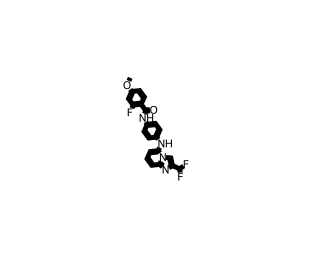 COc1ccc(C(=O)Nc2ccc(Nc3cccc4nc(C(F)F)cn34)cc2)c(F)c1